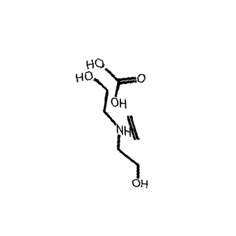 C=C.O=C(O)O.OCCNCCO